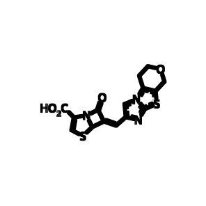 O=C(O)C1=CSC2C(=Cc3cn4c5c(sc4n3)COCC5)C(=O)N12